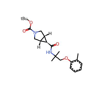 Cc1ccccc1OCC(C)(C)NC(=O)[C@H]1[C@@H]2CN(C(=O)OC(C)(C)C)C[C@@H]21